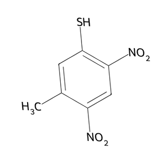 Cc1cc(S)c([N+](=O)[O-])cc1[N+](=O)[O-]